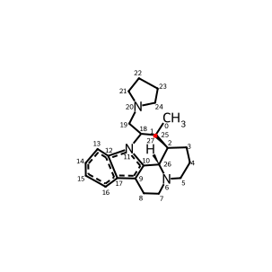 CC[C@]12CCCN3CCc4c(n(c5ccccc45)C(CN4CCCC4)C1)[C@@H]32